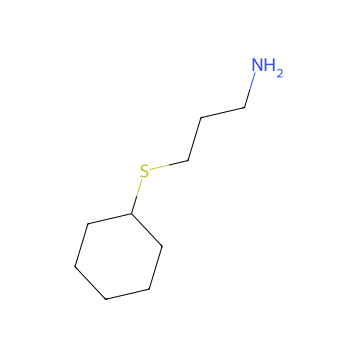 NCCCSC1CCCCC1